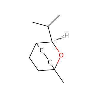 CC(C)[C@H]1OC2(C)CCC1CC2